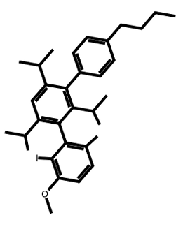 CCCCc1ccc(-c2c(C(C)C)cc(C(C)C)c(-c3c(C)ccc(OC)c3I)c2C(C)C)cc1